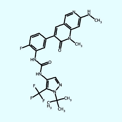 CNc1cc2c(cn1)cc(-c1ccc(F)c(NC(=O)Nc3cnn(C(C)(C)C)c3C(F)(F)F)c1)c(=O)n2C